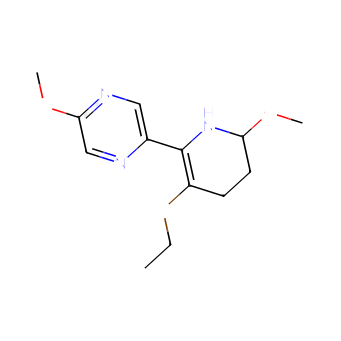 CCSC1=C(c2cnc(OC)cn2)NC(OC)CC1